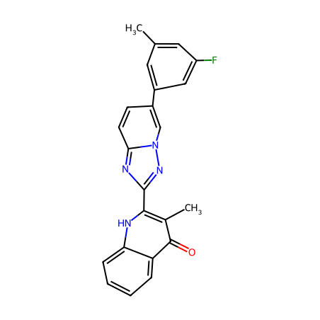 Cc1cc(F)cc(-c2ccc3nc(-c4[nH]c5ccccc5c(=O)c4C)nn3c2)c1